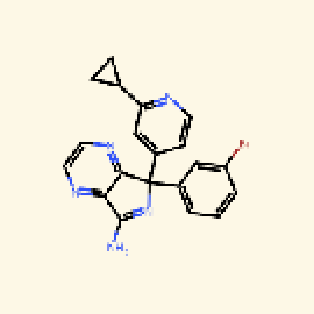 NC1=NC(c2cccc(Br)c2)(c2ccnc(C3CC3)c2)c2nccnc21